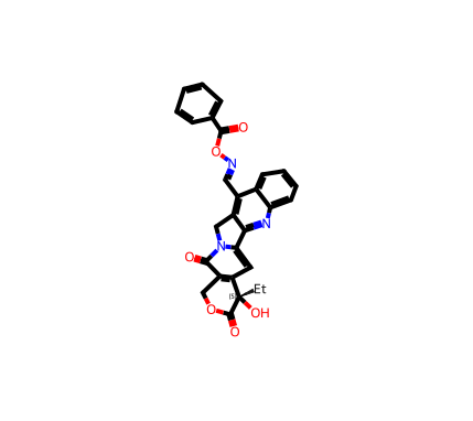 CC[C@@]1(O)C(=O)OCc2c1cc1n(c2=O)Cc2c-1nc1ccccc1c2C=NOC(=O)c1ccccc1